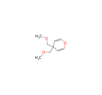 COCC1(COC)C=COC=C1